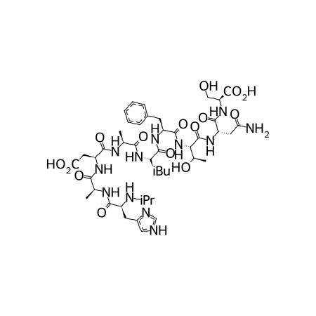 CC[C@H](C)[C@H](NC(=O)[C@H](C)NC(=O)[C@H](CC(=O)O)NC(=O)[C@H](C)NC(=O)[C@H](Cc1c[nH]cn1)NC(C)C)C(=O)N[C@@H](Cc1ccccc1)C(=O)N[C@H](C(=O)N[C@@H](CC(N)=O)C(=O)N[C@@H](CO)C(=O)O)[C@@H](C)O